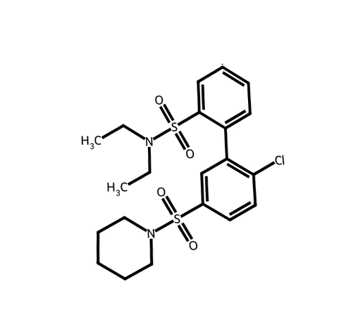 CCN(CC)S(=O)(=O)c1c[c]ccc1-c1cc(S(=O)(=O)N2CCCCC2)ccc1Cl